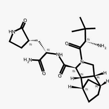 CC(C)(C)[C@H](N)C(=O)N1C[C@@H]2[C@@H]3CC[C@@H](C3)[C@@H]2[C@H]1C(=O)N[C@@H](C[C@@H]1CCNC1=O)C(N)=O